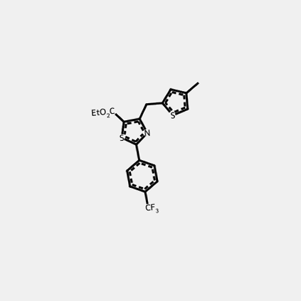 CCOC(=O)c1sc(-c2ccc(C(F)(F)F)cc2)nc1Cc1cc(C)cs1